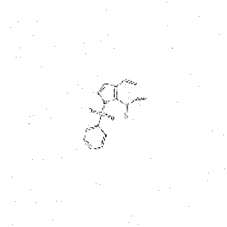 C=Cc1ccn(S(=O)(=O)c2ccccc2)c1C(=O)OC